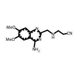 COc1cc2nc(CNCCC#N)nc(N)c2cc1OC